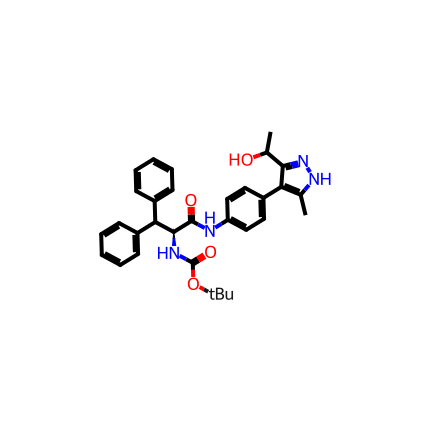 Cc1[nH]nc(C(C)O)c1-c1ccc(NC(=O)[C@@H](NC(=O)OC(C)(C)C)C(c2ccccc2)c2ccccc2)cc1